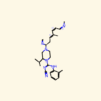 C=NC(C/C=C(C)/C=C\C=N/C)N1CCN(C(=NC#N)Nc2ccccc2C)C(C(C)C)C1